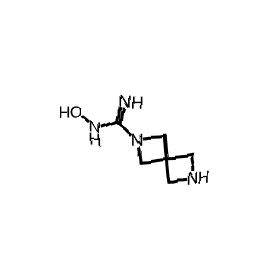 N=C(NO)N1CC2(CNC2)C1